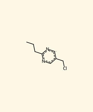 CCCc1n[c]c(CCl)cn1